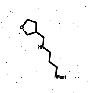 CCCCCCCCNCC1CCOC1